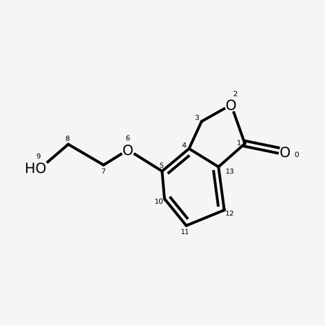 O=C1OCc2c(OCCO)cccc21